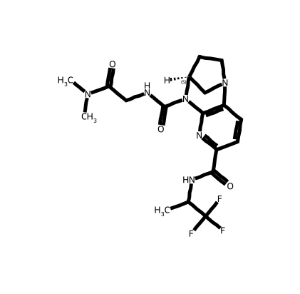 CC(NC(=O)c1ccc2c(n1)N(C(=O)NCC(=O)N(C)C)[C@H]1CCN2C1)C(F)(F)F